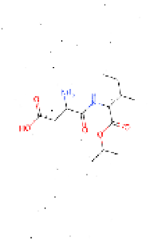 CCC(C)C(NC(=O)C(N)CC(=O)O)C(=O)OC(C)C